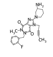 CC#CCn1c(N2CCCC(N)C2)nc2c(=O)n(C)n(Cc3ccccc3F)c(=O)c21